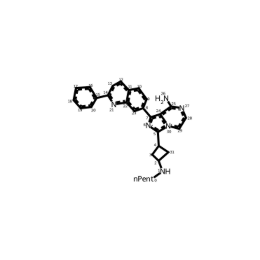 CCCCCNC1CC(c2nc(-c3ccc4ccc(-c5ccccc5)nc4c3)c3c(N)nccn23)C1